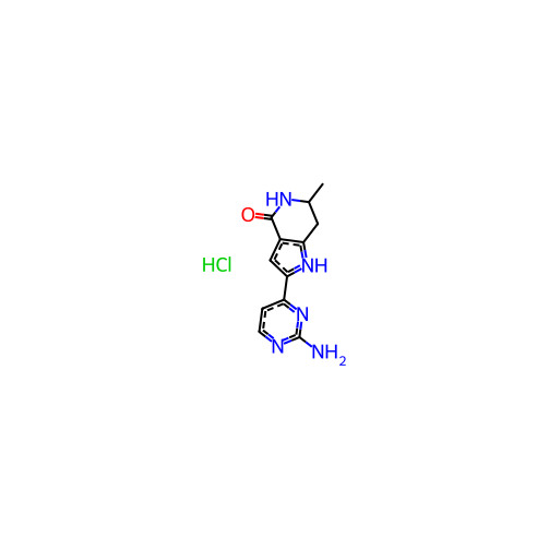 CC1Cc2[nH]c(-c3ccnc(N)n3)cc2C(=O)N1.Cl